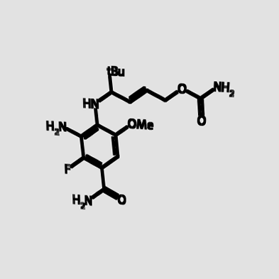 COc1cc(C(N)=O)c(F)c(N)c1NC(C=CCOC(N)=O)C(C)(C)C